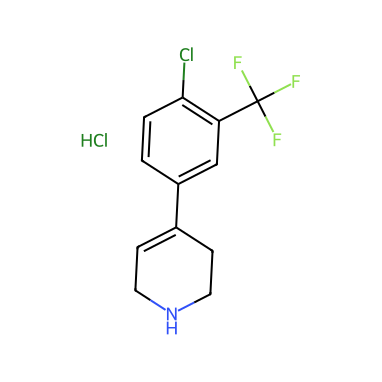 Cl.FC(F)(F)c1cc(C2=CCNCC2)ccc1Cl